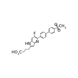 CS(=O)(=O)c1ccc(-c2ccc(-c3nc4cc(CCCC(=O)O)[nH]c4cc3F)cc2)cc1